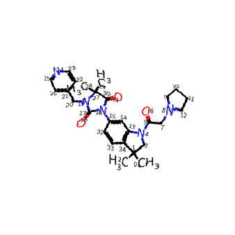 CC1(C)CN(C(=O)CN2CCCC2)c2cc(N3C(=O)N(Cc4ccncc4)C(C)(C)C3=O)ccc21